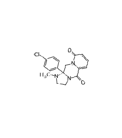 CN1CCN2C(=O)c3cccc(=O)n3CC12c1ccc(Cl)cc1